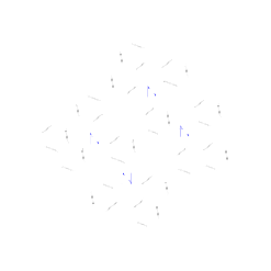 c1ccc(N(c2cc(-c3cc(N(c4ccccc4)c4cccc5ccccc45)cc(N(c4ccccc4)c4cccc5ccccc45)c3)cc(N(c3ccccc3)c3cccc4ccccc34)c2)c2cccc3ccccc23)cc1